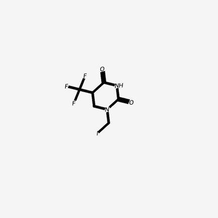 O=C1NC(=O)N(CI)CC1C(F)(F)F